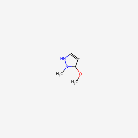 COC1[C]=CNN1C